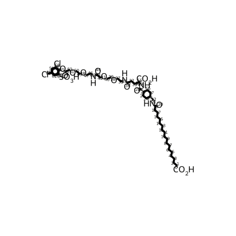 O=C(O)CCCCCCCCCCCCCCCCCCC(=O)NC[C@H]1CC[C@H](C(=O)N[C@@H](CCC(=O)NCCOCCOCC(=O)NCCOCCOCC(=O)Oc2c(Cl)cc(Cl)cc2S(=O)(=O)O)C(=O)O)CC1